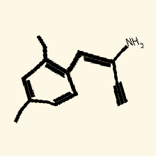 C#C/C(N)=C\c1ccc(C)cc1C